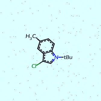 Cc1ccc2c(c1)c(Cl)cn2C(C)(C)C